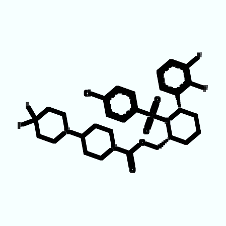 O=C(OC[C@H]1CCC[C@@H](c2cccc(F)c2F)N1S(=O)(=O)c1ccc(Cl)cc1)N1CCC(N2CCC(F)(I)CC2)CC1